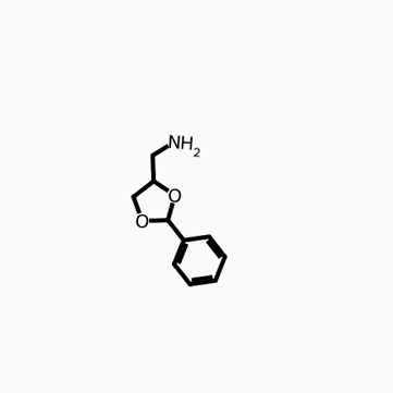 NCC1COC(c2ccccc2)O1